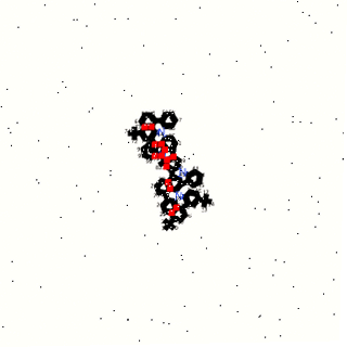 CC(C)(C)c1ccc(-c2cc(C(C)(C)C)ccc2N(c2ccccc2-c2ccccc2)c2ccc3c4cc5c(cc4n4c6ccccc6c2c34)c2ccc(N(c3ccccc3-c3ccccc3)c3ccc(C(C)(C)C)cc3-c3ccc(C(C)(C)C)cc3)c3c4ccccc4n5c23)cc1